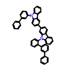 c1ccc(-c2cccc(-c3ccccc3-n3c4ccccc4c4ccc(-c5ccc6c(c5)c5ccccc5n6-c5cccc(-c6ccccc6)c5)cc43)c2)cc1